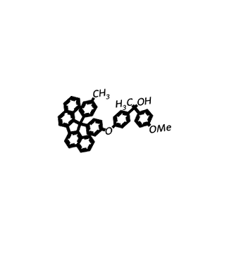 COc1ccc(C(C)(O)c2ccc(Oc3ccc(C4(c5ccc(C)cc5)c5c(ccc6ccccc56)-c5ccc6ccccc6c54)cc3)cc2)cc1